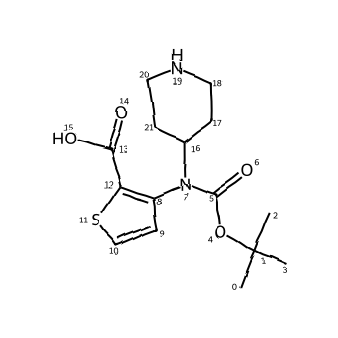 CC(C)(C)OC(=O)N(c1ccsc1C(=O)O)C1CCNCC1